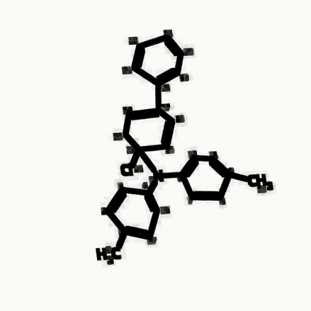 Cc1ccc(N(c2ccc(C)cc2)C2(Cl)C=CC(c3ccccc3)=CC2)cc1